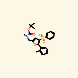 Cc1ccccc1-c1oc(CN(C)C(=O)OC(C)(C)C)cc1S(=O)(=O)c1ccccc1